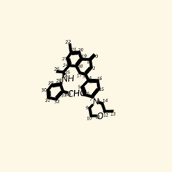 C=C1C=C(c2ccc(N3CCOC(C)C3)cc2)Cc2c1cc(C)cc2C(C)Nc1ccccc1C=O